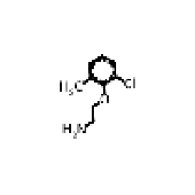 Cc1cccc(Cl)c1OCCN